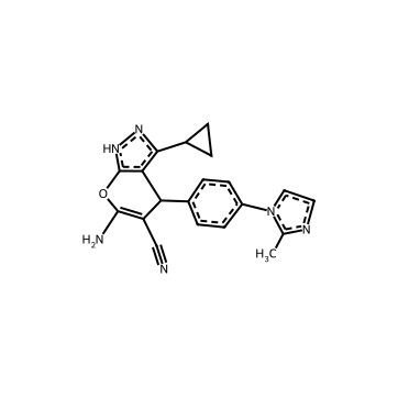 Cc1nccn1-c1ccc(C2C(C#N)=C(N)Oc3[nH]nc(C4CC4)c32)cc1